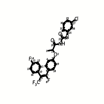 CC(Oc1ccc(C(F)=C(c2ccc(F)cc2)C(F)(F)F)cc1)C(=O)Nc1nc2cc(Cl)ccc2o1